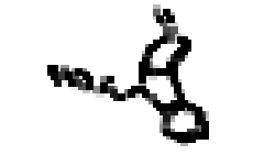 CCOC(=O)CC1c2ccccc2C2=CNCN21